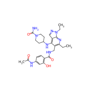 CCc1nc2c(cnn2CC)c(NC2CCN(C(N)=O)CC2)c1CNC(=O)c1ccc(NC(C)=O)cc1O